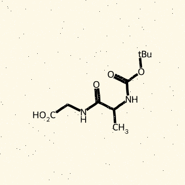 CC(NC(=O)OC(C)(C)C)C(=O)NCC(=O)O